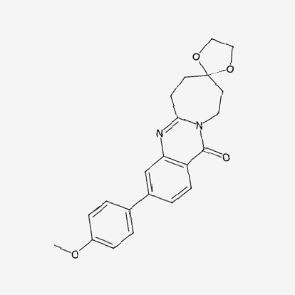 COc1ccc(-c2ccc3c(=O)n4c(nc3c2)CCC2(CC4)OCCO2)cc1